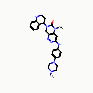 CN1CCN(c2ccc(Nc3cc4c(nn3)CN(C3CCNc5ccccc53)C(=O)N4C)cc2)CC1